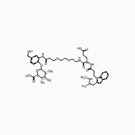 CNN(C)Cc1cc2ccccc2n1CCC(=O)N[C@H](CCC(=O)O)C(=O)NCCOCCOCCC(=O)Nc1cc(CO)ccc1OC1O[C@H](C(=O)O)[C@@H](O)[C@H](O)[C@H]1O